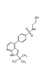 CC(C)(C)c1cc2c(-c3ccc(S(=O)(=O)NCCO)cc3)ccnc2[nH]1